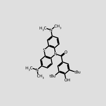 CN(C)c1ccc2c(c1)Sc1cc(N(C)C)ccc1N2C(=O)c1cc(C(C)(C)C)c(O)c(C(C)(C)C)c1